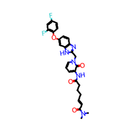 CN(C)C(=O)/C=C/CCCC(=O)Nc1cccn(Cc2nc3ccc(Oc4ccc(F)cc4F)cc3[nH]2)c1=O